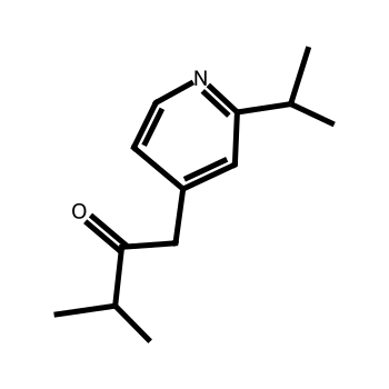 CC(C)C(=O)Cc1ccnc(C(C)C)c1